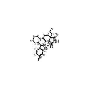 CCCC12C=CC(N3CCCCC3c3noc4cc(F)ccc34)=CC1(O)C(=O)NC2=O